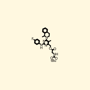 Cc1c(COC(=O)CNC(=O)OC(C)(C)C)nc(Nc2ccc(F)cc2)nc1N1CCc2ccccc2C1C